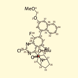 COCOc1cc(-c2cc(F)c3c(N4CC5CCC(C4)N5C(=O)OC(C)(C)C)nc(Cl)nc3c2F)c2ccccc2c1